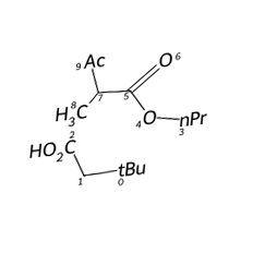 CC(C)(C)CC(=O)O.CCCOC(=O)C(C)C(C)=O